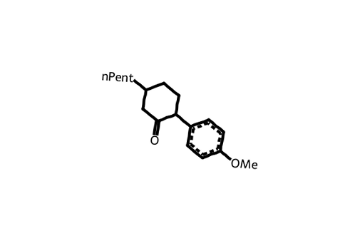 CCCCCC1CCC(c2ccc(OC)cc2)C(=O)C1